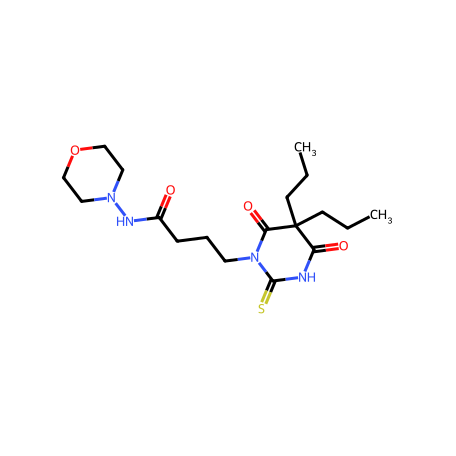 CCCC1(CCC)C(=O)NC(=S)N(CCCC(=O)NN2CCOCC2)C1=O